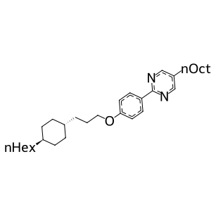 CCCCCCCCc1cnc(-c2ccc(OCCC[C@H]3CC[C@H](CCCCCC)CC3)cc2)nc1